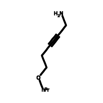 CCCOCCC#CCN